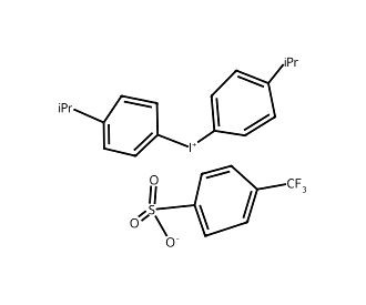 CC(C)c1ccc([I+]c2ccc(C(C)C)cc2)cc1.O=S(=O)([O-])c1ccc(C(F)(F)F)cc1